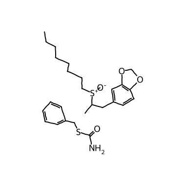 CCCCCCCC[S+]([O-])C(C)Cc1ccc2c(c1)OCO2.NC(=O)SCc1ccccc1